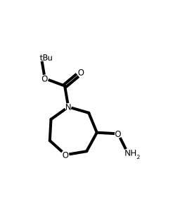 CC(C)(C)OC(=O)N1CCOCC(ON)C1